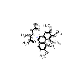 COc1ccc(/C=C\c2cc(OC)c(OC)c(OC)c2)cc1N.NC(=O)CC[C@@H](N)C(N)=O